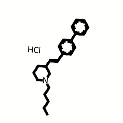 CCCCCN1CCCC(C=Cc2ccc(-c3ccccc3)cc2)C1.Cl